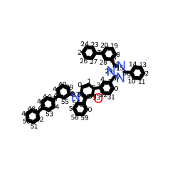 C1=CC2c3cc(-c4nc(-c5ccccc5)nc(-c5cccc(-c6ccccc6)c5)n4)ccc3OC2c2c1n(-c1cccc(-c3ccc(-c4ccccc4)cc3)c1)c1ccccc21